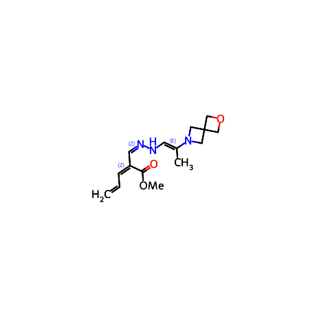 C=C/C=C(/C=N\N/C=C(\C)N1CC2(COC2)C1)C(=O)OC